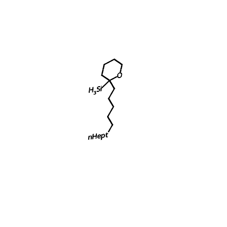 CCCCCCCCCCCCC1([SiH3])CCCCO1